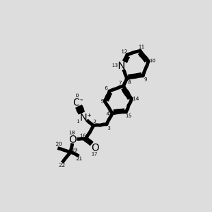 [C-]#[N+]C(Cc1ccc(-c2ccccn2)cc1)C(=O)OC(C)(C)C